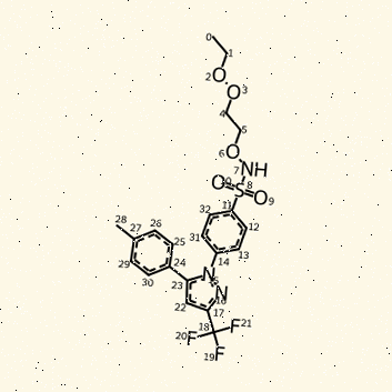 CCOOCCONS(=O)(=O)c1ccc(-n2nc(C(F)(F)F)cc2-c2ccc(C)cc2)cc1